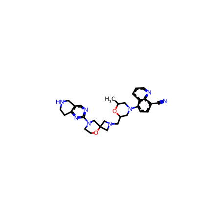 CC1CN(c2ccc(C#N)c3ncccc23)CC(CN2CC3(C2)CN(c2ncc4c(n2)CCNC4)CCO3)O1